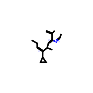 C=C(C)C(=C/C(C)/C(=C\CC)C1CC1)/N=C\C